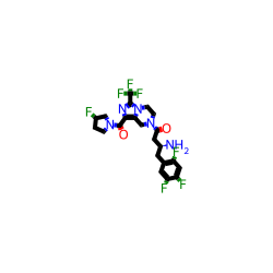 N[C@@H](CC(=O)N1CCn2c(C(F)(F)F)nc(C(=O)N3CCC(F)C3)c2C1)Cc1cc(F)c(F)cc1F